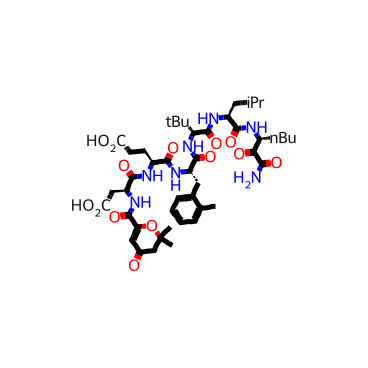 CCCC[C@H](NC(=O)[C@H](CC(C)C)NC(=O)[C@@H](NC(=O)[C@H](Cc1ccccc1C)NC(=O)[C@H](CCC(=O)O)NC(=O)[C@H](CC(=O)O)NC(=O)C1=CC(=O)CC(C)(C)O1)C(C)(C)C)C(=O)C(N)=O